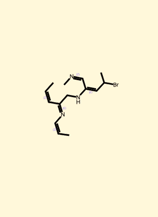 C\C=C/N=C(\C=C/C)CNC(/C=N\C)=C/C(C)Br